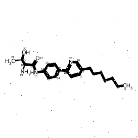 CCCCCCCc1ccc(-c2ccc(NC(=O)[C@@H](N)[C@@H](C)O)cc2)nc1